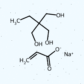 C=CC(=O)[O-].CCC(CO)(CO)CO.[Na+]